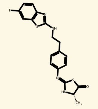 C[C@@H]1N/C(=N/c2ccc(CCNc3nc4ccc(F)cc4s3)cc2)SC1=O